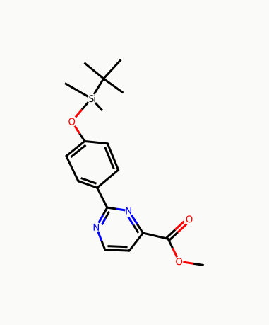 COC(=O)c1ccnc(-c2ccc(O[Si](C)(C)C(C)(C)C)cc2)n1